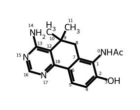 CC(=O)Nc1c(O)ccc2c1CC(C)(C)c1c(N)ncnc1-2